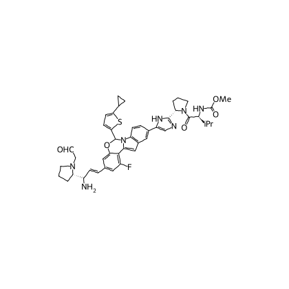 COC(=O)N[C@H](C(=O)N1CCC[C@H]1c1ncc(-c2ccc3c(c2)cc2n3C(c3ccc(C4CC4)s3)Oc3cc(C=CC(N)[C@@H]4CCCN4CC=O)cc(F)c3-2)[nH]1)C(C)C